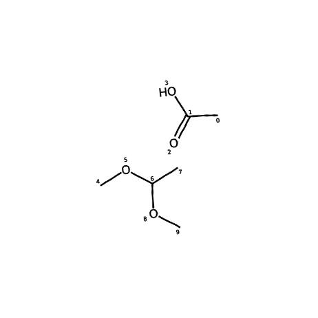 CC(=O)O.COC(C)OC